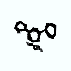 CO.c1ccc(-c2cccc(-c3ccccn3)n2)nc1